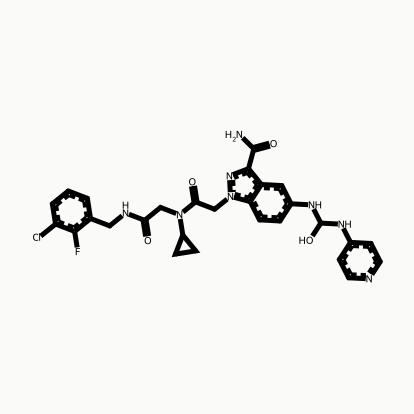 NC(=O)c1nn(CC(=O)N(CC(=O)NCc2cccc(Cl)c2F)C2CC2)c2ccc(NC(O)Nc3ccncc3)cc12